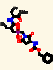 CNC(=O)[C@H](CC(C)C)NC(=O)C(CC(C)C)CP(=O)(O)CN1C(=O)C[C@@H](NC(=O)OCc2ccccc2)C1=O